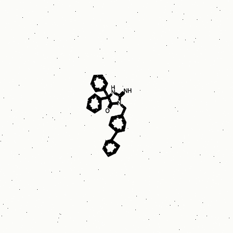 N=C1NC(c2ccccc2)(c2ccccc2)C(=O)N1Cc1ccc(-c2ccccc2)cc1